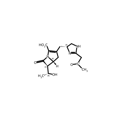 C[C@@H](O)[C@H]1C(=O)N2C(C(=O)O)=C(C[C@@H]3CNC(C[S+](C)[O-])=N3)C[C@H]12